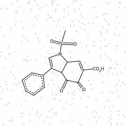 CS(=O)(=O)N1C=C(c2ccccc2)C2C(=O)C(=O)C(C(=O)O)=CC21